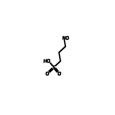 O=NCCCS(=O)(=O)O